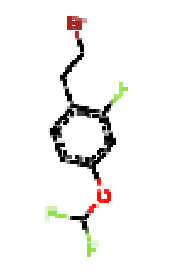 Fc1cc(OC(F)F)ccc1CCBr